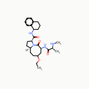 CCOC1CC[C@H]2CC[C@@H](C(=O)N[C@@H]3CCCc4ccccc43)N2C(=O)[C@@H](NC(=O)[C@H](C)NC)C1